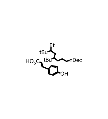 CCCCCCCCCCCCCC(CC(CC)C(C)(C)C)C(C)(C)C.O=C(O)C=Cc1ccc(O)cc1